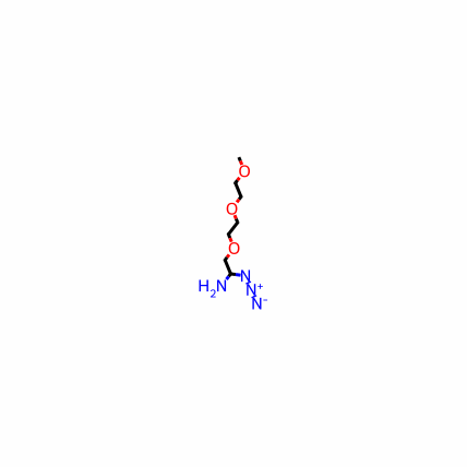 COCCOCCOCC(N)N=[N+]=[N-]